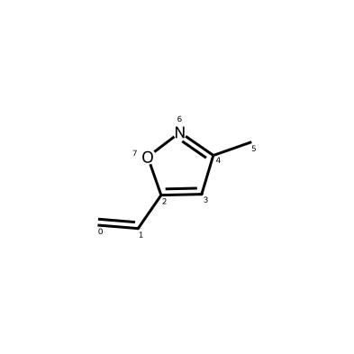 C=Cc1cc(C)no1